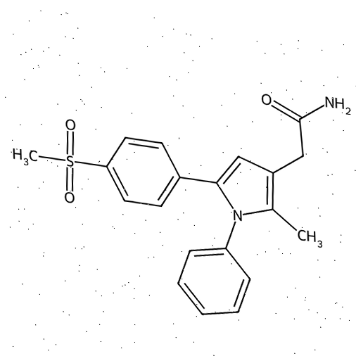 Cc1c(CC(N)=O)cc(-c2ccc(S(C)(=O)=O)cc2)n1-c1ccccc1